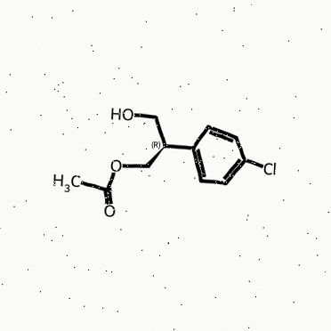 CC(=O)OC[C@@H](CO)c1ccc(Cl)cc1